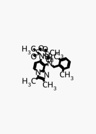 Cc1cccc(C)c1CNc1c(N(S(C)(=O)=O)S(C)(=O)=O)ccn2c(C)c(C)nc12